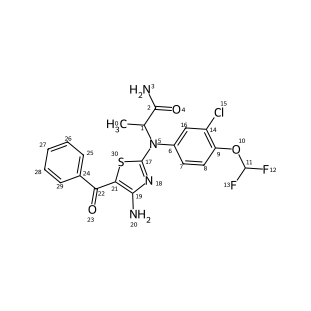 CC(C(N)=O)N(c1ccc(OC(F)F)c(Cl)c1)c1nc(N)c(C(=O)c2ccccc2)s1